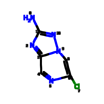 Nc1nc2cnc(Cl)cn2n1